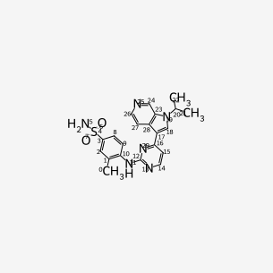 Cc1cc(S(N)(=O)=O)ccc1Nc1nccc(-c2cn(C(C)C)c3cnccc23)n1